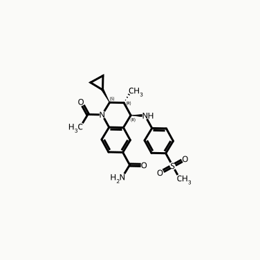 CC(=O)N1c2ccc(C(N)=O)cc2[C@H](Nc2ccc(S(C)(=O)=O)cc2)[C@@H](C)[C@@H]1C1CC1